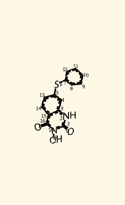 O=c1[nH]c2cc(Sc3ccccc3)ccc2c(=O)n1O